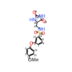 COc1ccc(Oc2cccc(S(=O)(=O)NCC3NC(=O)NC3=O)c2)cc1